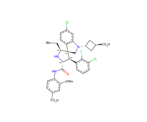 COc1cc(C(=O)O)ccc1NC(=O)[C@@H]1N[C@@H](CC(C)(C)C)[C@@]2(CN([C@H]3C[C@H](C(=O)O)C3)c3cc(Cl)ccc32)[C@H]1c1cccc(Cl)c1F